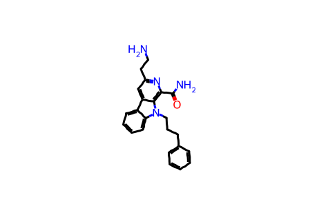 NCCc1cc2c3ccccc3n(CCCc3ccccc3)c2c(C(N)=O)n1